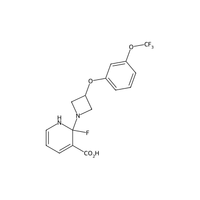 O=C(O)C1=CC=CNC1(F)N1CC(Oc2cccc(OC(F)(F)F)c2)C1